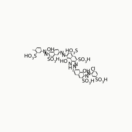 Cc1ccc(N=Nc2c(S(=O)(=O)O)cc3cc(N=Nc4c(S(=O)(=O)O)cc5cc(S(=O)(=O)O)c(N=Nc6ccc7cc(S(=O)(=O)O)c(N=Nc8cc(S(=O)(=O)O)ccc8Cl)c(O)c7c6)c(N)c5c4O)ccc3c2O)cc1S(=O)(=O)O